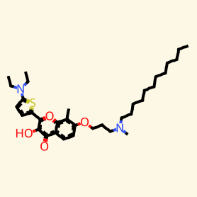 CCCCCCCCCCCCN(C)CCCOc1ccc2c(=O)c(O)c(-c3ccc(N(CC)CC)s3)oc2c1C